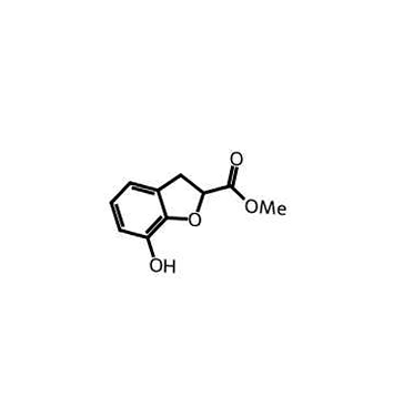 COC(=O)C1Cc2cccc(O)c2O1